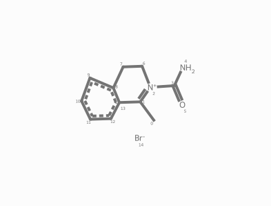 CC1=[N+](C(N)=O)CCc2ccccc21.[Br-]